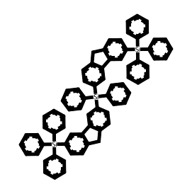 c1ccc([Si](c2ccccc2)(c2ccccc2)c2ccc3c(c2)-c2cc([Si](c4ccccc4)(c4ccccc4)c4ccc5c(c4)-c4cc([Si](c6ccccc6)(c6ccccc6)c6ccccc6)ccc4C5)ccc2C3)cc1